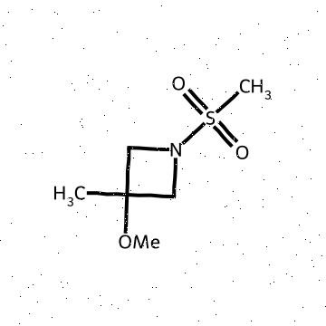 COC1(C)CN(S(C)(=O)=O)C1